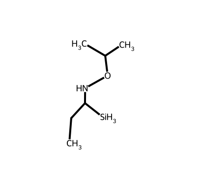 CCC([SiH3])NOC(C)C